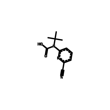 CC(C)(C)N(C(=O)O)c1cccc(C#N)n1